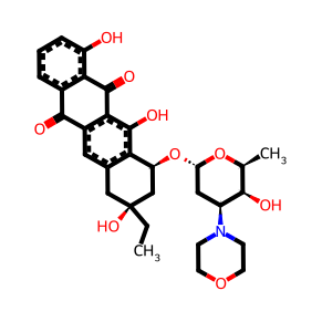 CC[C@]1(O)Cc2cc3c(c(O)c2[C@@H](O[C@H]2C[C@H](N4CCOCC4)[C@H](O)[C@H](C)O2)C1)C(=O)c1c(O)cccc1C3=O